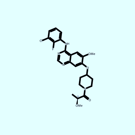 COc1cc2c(Nc3cccc(Cl)c3F)ncnc2cc1OC1CCN(C(=O)[C@H](C)OC)CC1